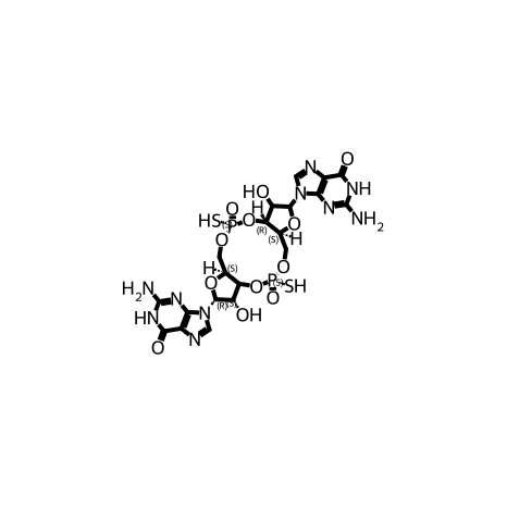 Nc1nc2c(ncn2C2O[C@H]3CO[P@](=O)(S)OC4[C@H](CO[P@](=O)(S)O[C@@H]3C2O)O[C@@H](n2cnc3c(=O)[nH]c(N)nc32)[C@H]4O)c(=O)[nH]1